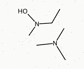 CCN(C)O.CN(C)C